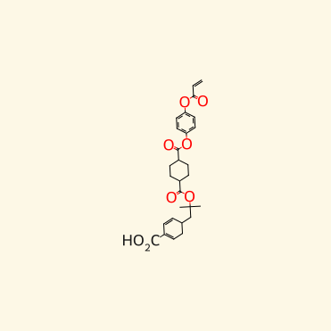 C=CC(=O)Oc1ccc(OC(=O)C2CCC(C(=O)OC(C)(C)CC3C=CC(C(=O)O)=CC3)CC2)cc1